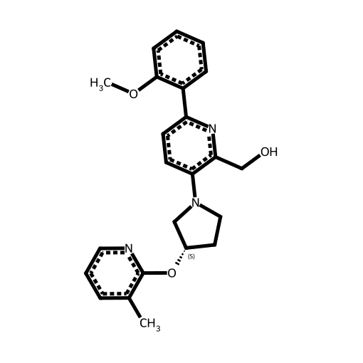 COc1ccccc1-c1ccc(N2CC[C@H](Oc3ncccc3C)C2)c(CO)n1